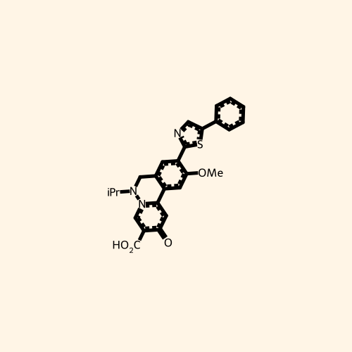 COc1cc2c(cc1-c1ncc(-c3ccccc3)s1)CN(C(C)C)n1cc(C(=O)O)c(=O)cc1-2